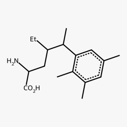 CCC(CC(N)C(=O)O)C(C)c1cc(C)cc(C)c1C